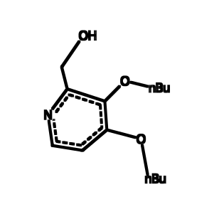 CCCCOc1ccnc(CO)c1OCCCC